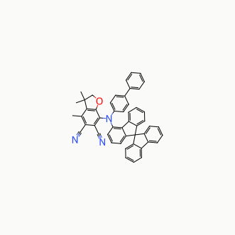 Cc1c(C#N)c(C#N)c(N(c2ccc(-c3ccccc3)cc2)c2cccc3c2-c2ccccc2C32c3ccccc3-c3ccccc32)c2c1C(C)(C)CO2